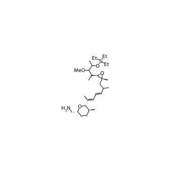 CC[Si](CC)(CC)OC(C)C(OC)C(C)[C@H]1O[C@]1(C)CC(C)/C=C/C=C(\C)[C@H]1O[C@@H](CN)CC[C@@H]1C